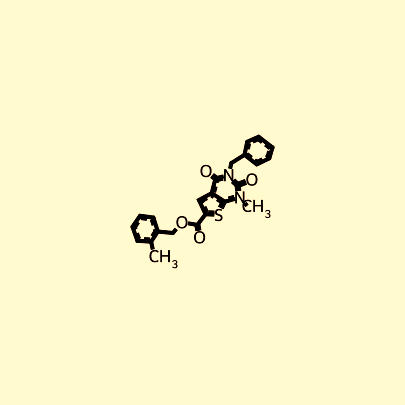 Cc1ccccc1COC(=O)c1cc2c(=O)n(Cc3ccccc3)c(=O)n(C)c2s1